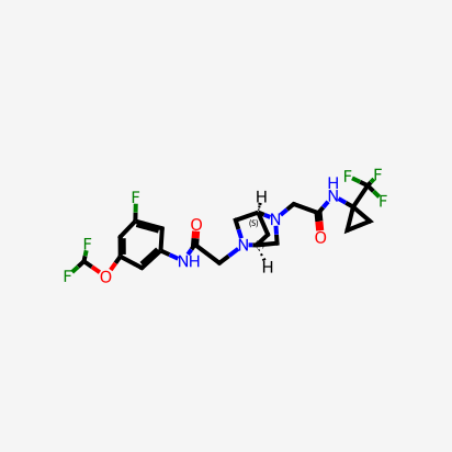 O=C(CN1C[C@@H]2C[C@H]1CN2CC(=O)NC1(C(F)(F)F)CC1)Nc1cc(F)cc(OC(F)F)c1